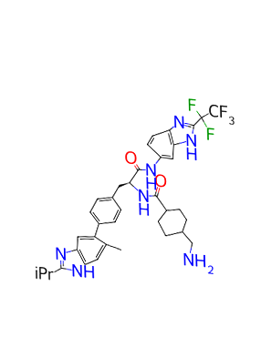 Cc1cc2[nH]c(C(C)C)nc2cc1-c1ccc(C[C@H](NC(=O)C2CCC(CN)CC2)C(=O)Nc2ccc3nc(C(F)(F)C(F)(F)F)[nH]c3c2)cc1